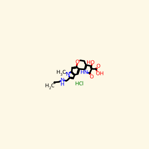 C=CCNCc1cc2cc3c(cc2n1C)OCCc1c-3[nH]c(=O)c(C(=O)O)c1O.Cl